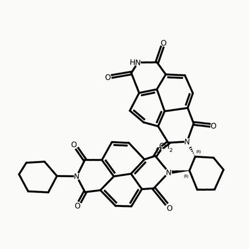 C=c1c2ccc3c4c(ccc(c(=O)n1[C@@H]1CCCC[C@H]1N1C(=O)c5ccc6c7c(ccc(c57)C1=O)C(=O)NC6=O)c42)C(=O)N(C1CCCCC1)C3=O